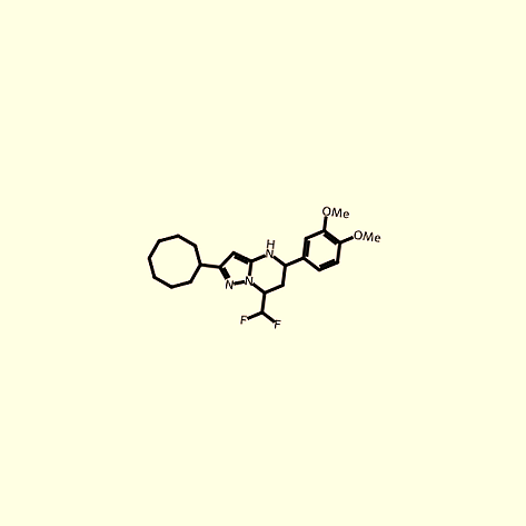 COc1ccc(C2CC(C(F)F)n3nc(C4CCCCCCC4)cc3N2)cc1OC